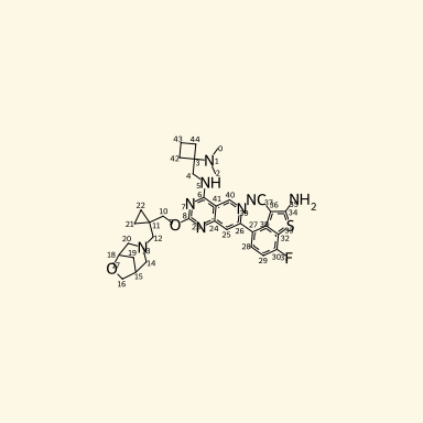 CN(C)C1(CNc2nc(OCC3(CN4CC5COC(C5)C4)CC3)nc3cc(-c4ccc(F)c5sc(N)c(C#N)c45)ncc23)CCC1